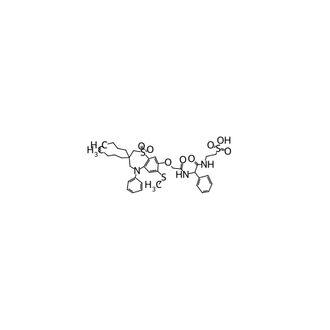 CCCCC1(CCCC)CN(c2ccccc2)c2cc(SC)c(OCC(=O)NC(C(=O)NCCS(=O)(=O)O)c3ccccc3)cc2S(=O)(=O)C1